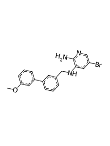 COc1cccc(-c2cccc(CNc3cc(Br)cnc3N)c2)c1